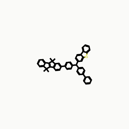 CC1(C)C2=C(c3ccccc31)C(C)(C)c1cc(-c3ccc(C(c4ccc(-c5ccccc5)cc4)c4ccc5c(c4)sc4ccccc45)cc3)ccc12